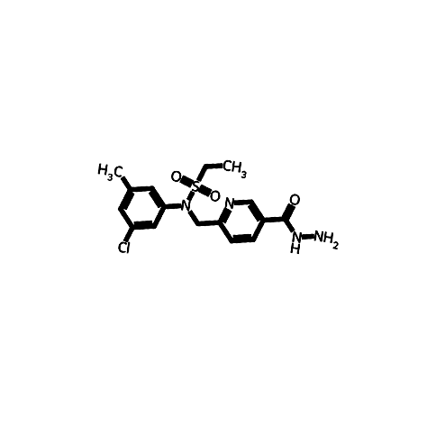 CCS(=O)(=O)N(Cc1ccc(C(=O)NN)cn1)c1cc(C)cc(Cl)c1